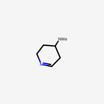 CNC1CC=NCC1